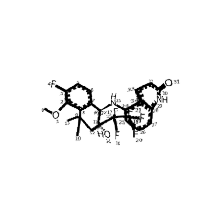 COc1c(F)ccc2c1C(C)(C)C[C@](O)(C(F)(F)C(F)(F)F)[C@@H]2Nc1cccc2[nH]c(=O)ccc12